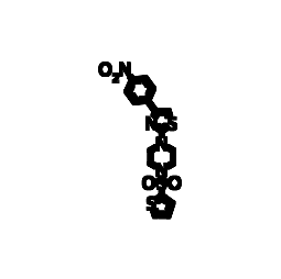 O=[N+]([O-])c1ccc(-c2csc(N3CCN(S(=O)(=O)c4cccs4)CC3)n2)cc1